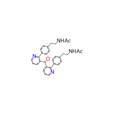 CC(=O)NCCc1ccc(-c2ncccc2C(=O)c2cccnc2-c2ccc(CCNC(C)=O)cc2)cc1